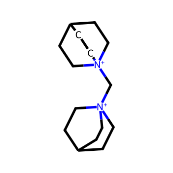 C1C[N+]2(C[N+]34CCC(CC3)CC4)CCC1CC2